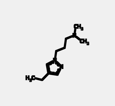 CCc1cnn(CCCN(C)C)c1